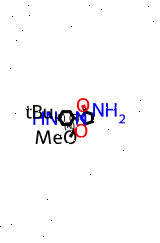 COC(=O)[C@@H]1C[C@H](NC(C)(C)C)CC[C@@H]1N1CCC(N)C1=O